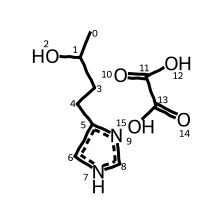 CC(O)CCc1c[nH]cn1.O=C(O)C(=O)O